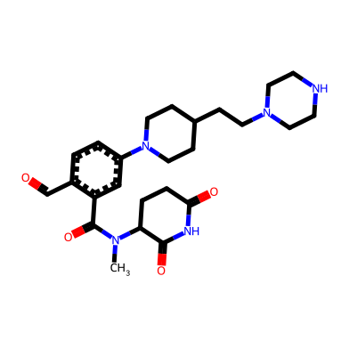 CN(C(=O)c1cc(N2CCC(CCN3CCNCC3)CC2)ccc1C=O)C1CCC(=O)NC1=O